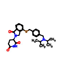 CC(C)N(Cc1ccc(CSc2cccc3c2CN(C2CCC(=O)NC2=O)C3=O)cc1)C(C)C